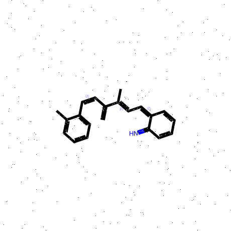 C=C(/C=C\c1ccccc1C)/C(C)=C/C=C1/C=CC=CC1=N